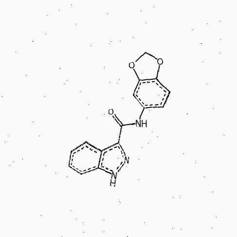 O=C(Nc1ccc2c(c1)OCO2)c1n[nH]c2ccccc12